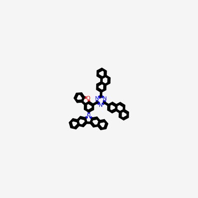 c1ccc2cc3c(cc2c1)c1cc2ccccc2cc1n3-c1cc(-c2nc(-c3ccc4c(ccc5ccccc54)c3)nc(-c3ccc4c(ccc5ccccc54)c3)n2)c2oc3ccccc3c2c1